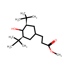 COC(=O)CCC1C[C@@H](C(C)(C)C)C(O)[C@@H](C(C)(C)C)C1